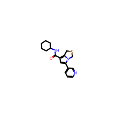 O=C(NC1CCCCC1)c1cc(-c2cccnc2)n2c1CSC2